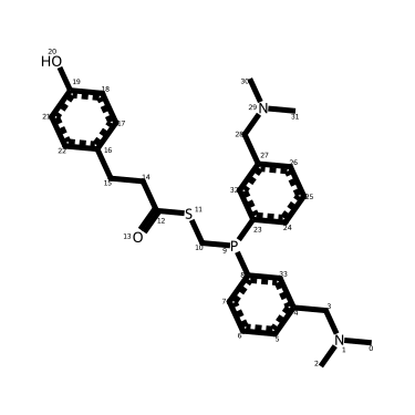 CN(C)Cc1cccc(P(CSC(=O)CCc2ccc(O)cc2)c2cccc(CN(C)C)c2)c1